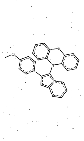 COc1ccc(-c2cc3ccccn3c2N2c3ccccc3Sc3ccccc32)cc1